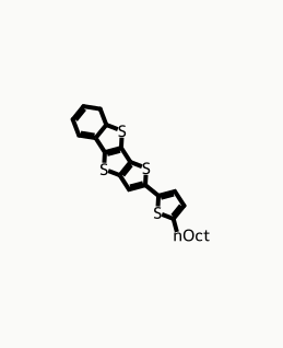 CCCCCCCCc1ccc(-c2cc3sc4c(c3s2)SC2CC=CC=C42)s1